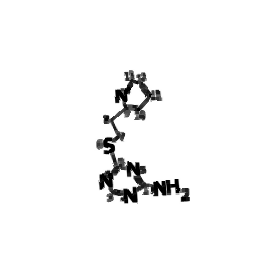 Nc1ncnc(SCCc2ccccn2)n1